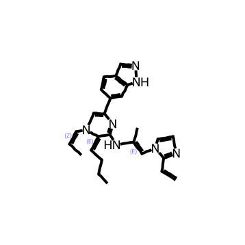 C=Cc1nccn1/C=C(\C)NC1=NC(c2ccc3cn[nH]c3c2)=CN(/C=C\C)/C1=C/CCC